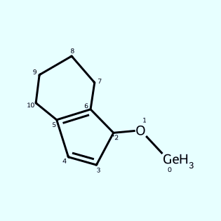 [GeH3][O][C]1C=CC2=C1CCCC2